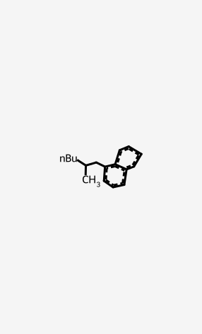 [CH2]CCCC(C)Cc1cccc2ccccc12